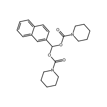 O=C(OC(OC(=O)N1CCCCC1)c1ccc2ccccc2c1)N1CCCCC1